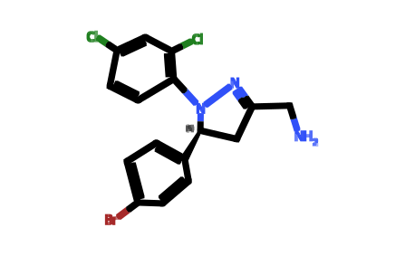 NCC1=NN(c2ccc(Cl)cc2Cl)[C@H](c2ccc(Br)cc2)C1